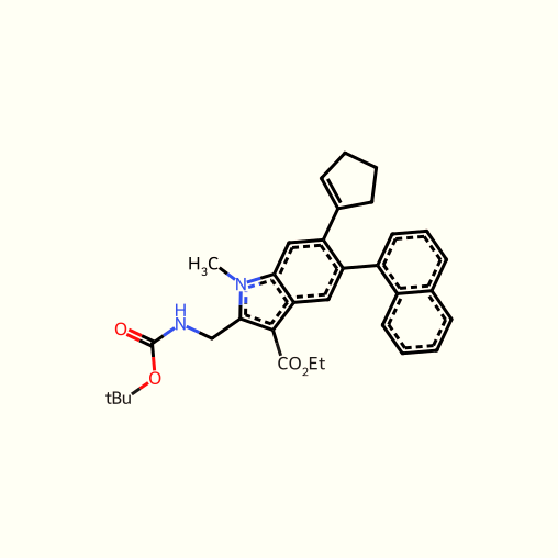 CCOC(=O)c1c(CNC(=O)OC(C)(C)C)n(C)c2cc(C3=CCCC3)c(-c3cccc4ccccc34)cc12